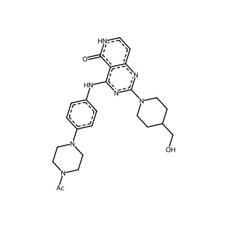 CC(=O)N1CCN(c2ccc(Nc3nc(N4CCC(CO)CC4)nc4cc[nH]c(=O)c34)cc2)CC1